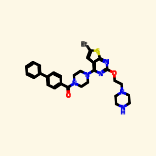 CCc1cc2c(N3CCN(C(=O)c4ccc(-c5ccccc5)cc4)CC3)nc(OCCN3CCNCC3)nc2s1